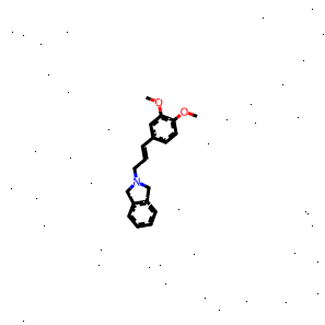 COc1ccc(C=CCN2Cc3ccccc3C2)cc1OC